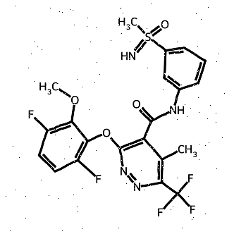 COc1c(F)ccc(F)c1Oc1nnc(C(F)(F)F)c(C)c1C(=O)Nc1cccc(S(C)(=N)=O)c1